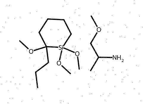 CCCC1(OC)CCCC[Si]1(OC)OC.COCC(C)N